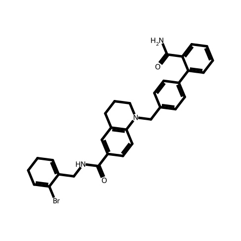 NC(=O)c1ccccc1-c1ccc(CN2CCCc3cc(C(=O)NCC4=CCCC=C4Br)ccc32)cc1